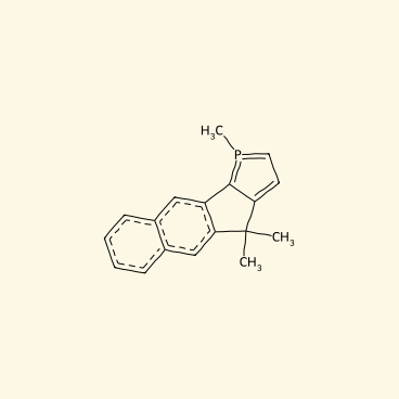 CP1=CC=C2C=1c1cc3ccccc3cc1C2(C)C